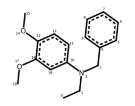 CCN(Cc1ccccc1)c1ccc(OC)c(OC)c1